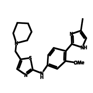 COc1cc(Nc2ncc(CN3CCCCC3)s2)ccc1-c1nc(C)c[nH]1